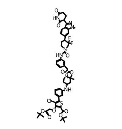 Cn1nc(C2CCC(=O)NC2=O)c2ccc(C3CCN(C(=O)Nc4cccc(CS(=O)(=O)N5CC[C@H](Nc6cccc(-c7sc(C(=O)OC(C)(C)C)c(OCC(=O)OC(C)(C)C)c7Cl)c6)CC5(C)C)c4)CC3(F)F)cc21